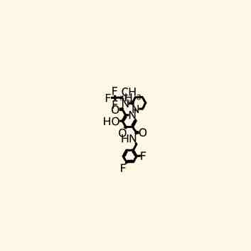 C[C@H](N1C(=O)c2c(O)c(=O)c(C(=O)NCc3ccc(F)cc3F)cn2N2CCCC[C@@H]12)C(F)(F)F